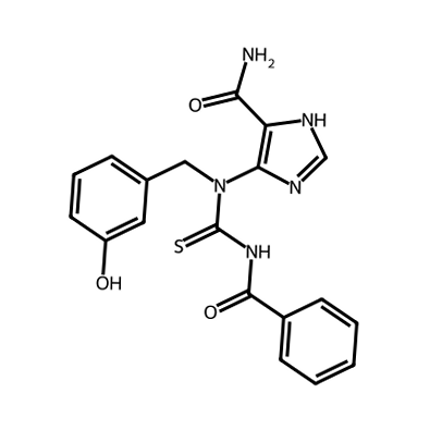 NC(=O)c1[nH]cnc1N(Cc1cccc(O)c1)C(=S)NC(=O)c1ccccc1